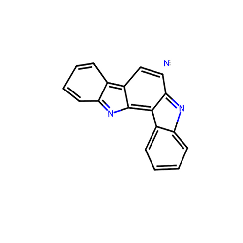 [N].c1ccc2c(c1)N=c1ccc3c(c1-2)N=c1ccccc1=3